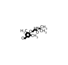 Cc1cc(C=O)cc(C)c1OCCC(=O)NC(C)C